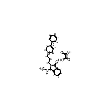 CNC1c2ccccc2C(=O)N1CCCN1CC=C(c2ccccc2)CC1.O=C(O)C(=O)O